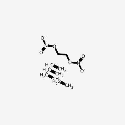 C=C.C=C.C=C.C=C.O=[N+]([O-])OCCO[N+](=O)[O-]